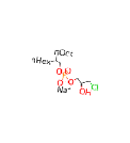 CCCCCCCCC(CCCCCC)COP(=O)([O-])OCC(O)CCl.[Na+]